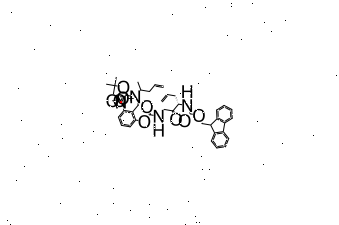 C=CCC(C)N(Cc1c(OC(=O)NCC(=O)[C@H](CC=C)NC(=O)OCC2c3ccccc3-c3ccccc32)cccc1[N+](=O)[O-])C(=O)OC(C)(C)C